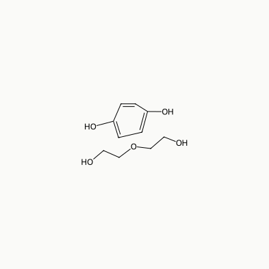 OCCOCCO.Oc1ccc(O)cc1